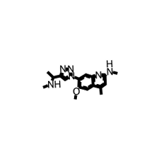 CNc1cc(C)c2cc(OC)c(-n3cc(C(C)NC)nn3)cc2n1